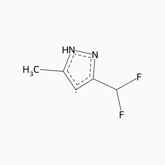 Cc1[c]c(C(F)F)n[nH]1